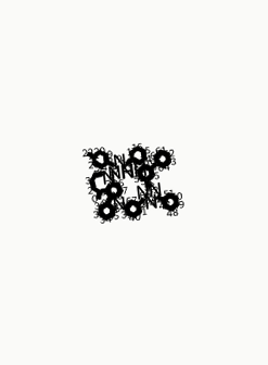 C=C1/C=C\C=C/N(N/C(=N\C(=N)C2=CC=CCC2)C2=CCC(C)C=C2)c2ccc3c(c21)c1ccccc1n3-c1cccc(-c2nc(-c3ccccc3)nc(-c3cccc(-c4ccccc4)c3)n2)c1